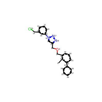 Cc1c(COCc2cn(-c3cccc(CCl)c3)nn2)cccc1-c1ccccc1